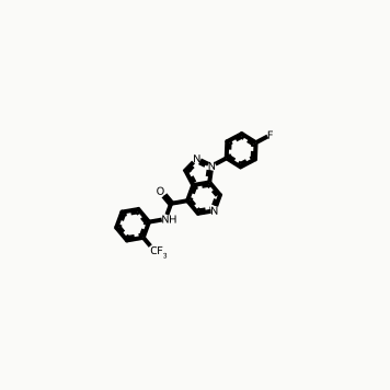 O=C(Nc1ccccc1C(F)(F)F)c1cncc2c1cnn2-c1ccc(F)cc1